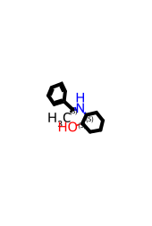 C[C@H](N[C@H]1CCCC[C@@H]1O)c1ccccc1